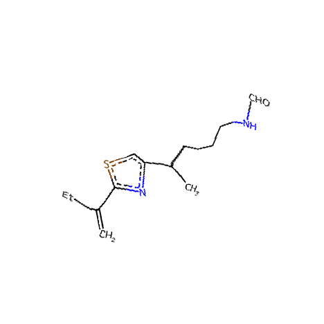 C=C(CC)c1nc(C(C)CCCNC=O)cs1